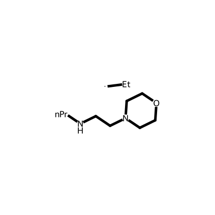 CCCNCCN1CCOCC1.[CH2]CC